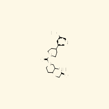 O=C1COC2CCN(C(=O)N3CCC(c4cncc(C(F)(F)F)c4)CC3)CC2N1